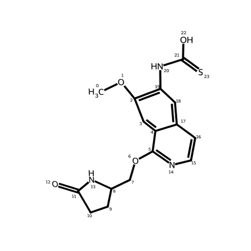 COc1cc2c(OCC3CCC(=O)N3)nccc2cc1NC(O)=S